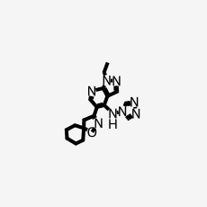 CCn1ncc2c(Nn3cnnc3)c(C3=NOC4(CCCCC4)C3)cnc21